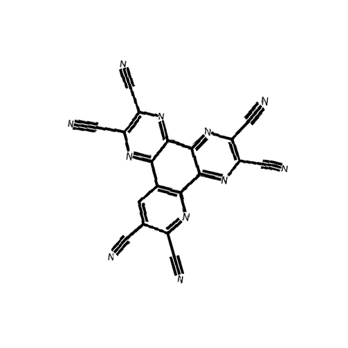 N#Cc1cc2c(nc1C#N)c1nc(C#N)c(C#N)nc1c1nc(C#N)c(C#N)nc21